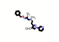 C/C(CN(C)CCc1nn(-c2cccnc2)cc1C=O)=N\OCc1ccccc1